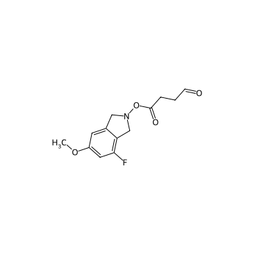 COc1cc(F)c2c(c1)CN(OC(=O)CCC=O)C2